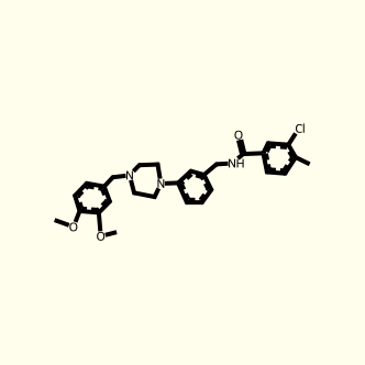 COc1ccc(CN2CCN(c3cccc(CNC(=O)c4ccc(C)c(Cl)c4)c3)CC2)cc1OC